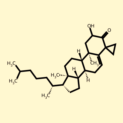 CC(C)CCC[C@@H](C)[C@H]1CC[C@H]2[C@@H]3CC=C4C5(CC5)C(=O)C(O)C[C@]4(C)[C@H]3CC[C@]12C